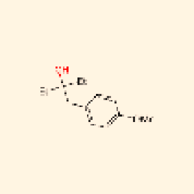 CCC(O)(CC)Cc1ccc(OC)cc1